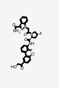 NC(=O)c1nn(CC(=O)N2C[C@H](F)C[C@H]2C(=O)Nc2cccc(-c3cc(C(=O)CO)ccc3Cl)c2F)c2ccccc12